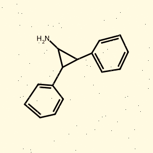 NC1C(c2ccccc2)C1c1ccccc1